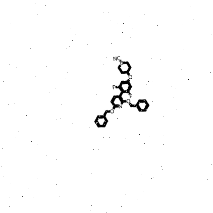 N#CB1CCC(Oc2cc(F)c(-c3ccc(OCc4ccccc4)nc3OCc3ccccc3)c(F)c2)CC1